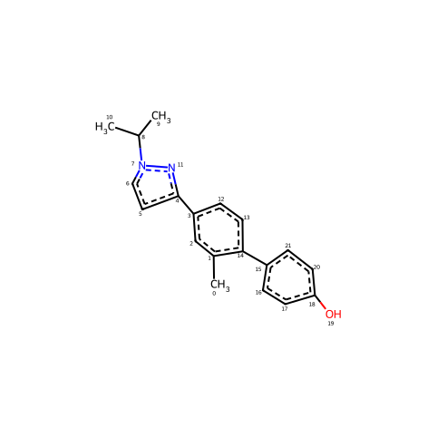 Cc1cc(-c2ccn(C(C)C)n2)ccc1-c1ccc(O)cc1